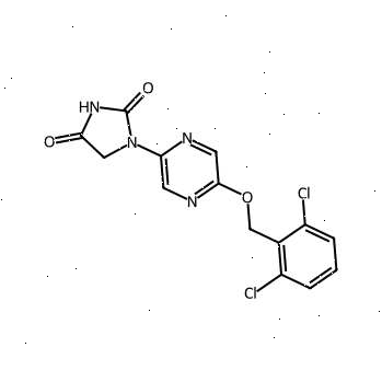 O=C1CN(c2cnc(OCc3c(Cl)cccc3Cl)cn2)C(=O)N1